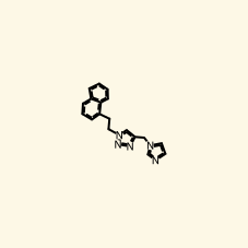 c1ccc2c(CCn3cc(Cn4ccnc4)nn3)cccc2c1